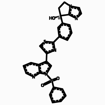 O=S(=O)(c1ccccc1)n1cc(-c2csc(-c3cccc([C@@]4(O)CCn5ccnc54)c3)n2)c2cccnc21